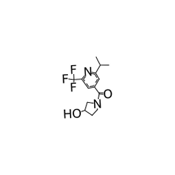 CC(C)c1cc(C(=O)N2CCC(O)C2)cc(C(F)(F)F)n1